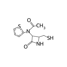 CC(=O)N(c1cccs1)C1C(=O)NC1CS